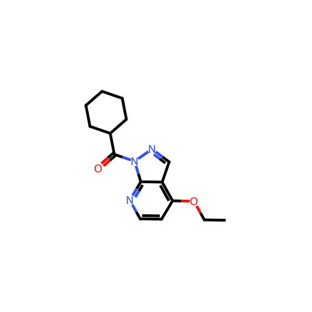 CCOc1ccnc2c1cnn2C(=O)C1CCCCC1